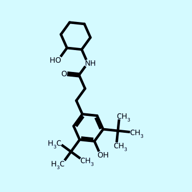 CC(C)(C)c1cc(CCC(=O)NC2CCCCC2O)cc(C(C)(C)C)c1O